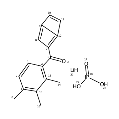 Cc1ccc(C(=O)c2cc3ccc2-3)c(C)c1C.O=[PH](O)O.[LiH]